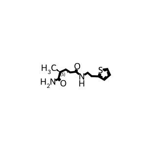 C[C@@H](C[CH]C(=O)NCCc1cccs1)C(N)=O